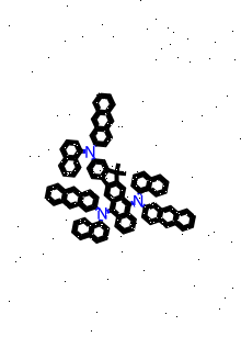 CC1(C)c2cc(N(c3ccc4cc5ccccc5cc4c3)c3cccc4ccccc34)ccc2-c2cc3c(N(c4ccc5cc6ccccc6cc5c4)c4cccc5ccccc45)c4ccccc4c(N(c4ccc5cc6ccccc6cc5c4)c4cccc5ccccc45)c3cc21